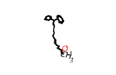 CCC(=O)CCCCCCCCCC(c1ccccc1)c1ccccc1